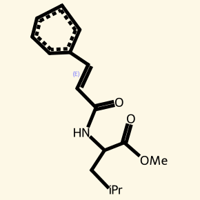 COC(=O)C(CC(C)C)NC(=O)/C=C/c1ccccc1